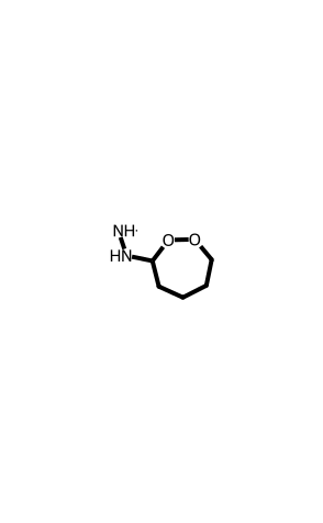 [NH]NC1CCCCOO1